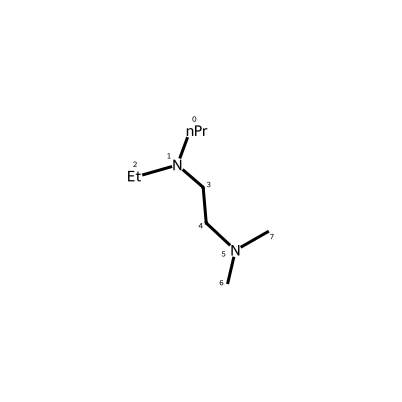 CCCN(CC)CCN(C)C